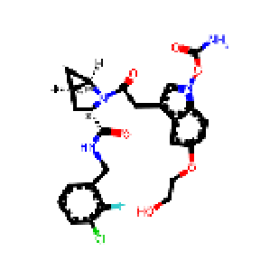 NC(=O)On1cc(CC(=O)N2[C@@H]3C[C@@H]3C[C@H]2C(=O)NCc2cccc(Cl)c2F)c2cc(OCCO)ccc21